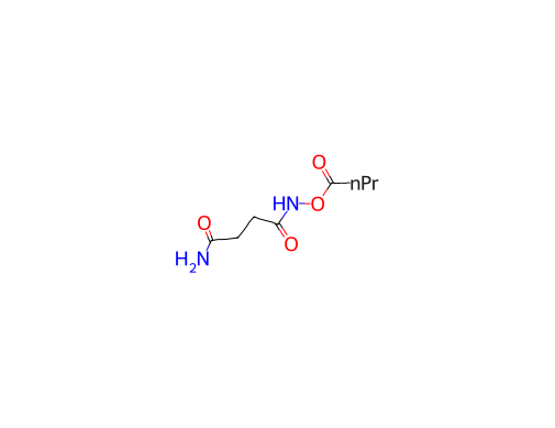 CCCC(=O)ONC(=O)CCC(N)=O